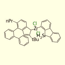 CCCc1ccc2c(c1-c1ccccc1-c1ccccc1)C=C(C(C)(C)C)[CH]2[Zr]([Cl])([Cl])[c]1cccc2c1[SiH2]c1ccccc1-2